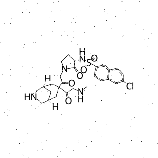 CNCC(=O)C1(C(=O)[C@H](C)N2CC[C@H](NS(=O)(=O)c3ccc4cc(Cl)ccc4c3)C2=O)C[C@@H]2CNC[C@@H](C2)C1